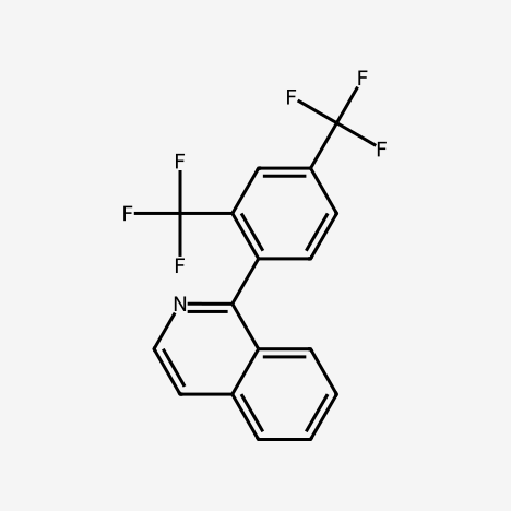 FC(F)(F)c1ccc(-c2nccc3ccccc23)c(C(F)(F)F)c1